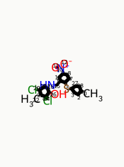 Cc1ccc(Sc2ccc([N+](=O)[O-])cc2CNc2cc(Cl)c(C)c(Cl)c2O)cc1